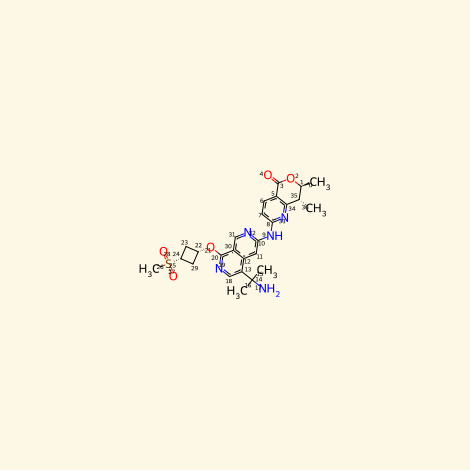 C[C@@H]1OC(=O)c2ccc(Nc3cc4c(C(C)(C)N)cnc(O[C@H]5C[C@@H](S(C)(=O)=O)C5)c4cn3)nc2[C@H]1C